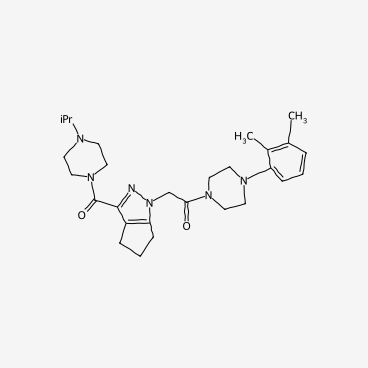 Cc1cccc(N2CCN(C(=O)Cn3nc(C(=O)N4CCN(C(C)C)CC4)c4c3CCC4)CC2)c1C